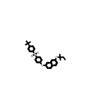 CCC(C)(C)Oc1ccc2ccc(Oc3ccc(S(=O)(=O)c4ccc(C(C)(C)C)cc4)cc3)cc2c1